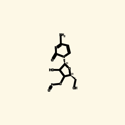 Nc1ccn([C@@H]2O[C@H](CO)C(OP=O)C2O)c(=O)n1